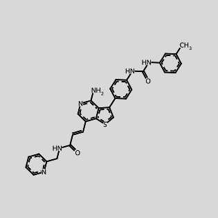 Cc1cccc(NC(=O)Nc2ccc(-c3csc4c(/C=C/C(=O)NCc5ccccn5)cnc(N)c34)cc2)c1